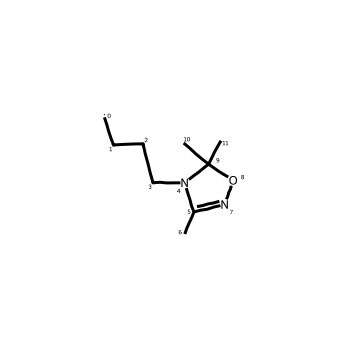 [CH2]CCCN1C(C)=NOC1(C)C